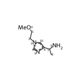 COCCn1cnc(C(C)N)c1